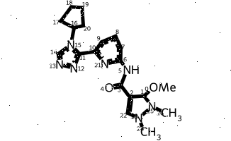 COC1C(C(=O)Nc2cccc(-c3nncn3C3CCCC3)n2)=CN(C)N1C